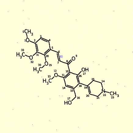 COc1ccc(/C=C/C(=O)c2c(OC)cc(CO)c(C3=CCN(C)CC3)c2O)c(OC)c1OC